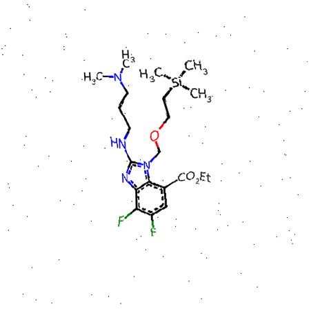 CCOC(=O)c1cc(F)c(F)c2nc(NCCCN(C)C)n(COCC[Si](C)(C)C)c12